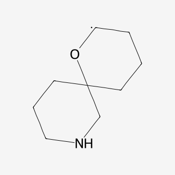 [CH]1CCCC2(CCCNC2)O1